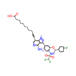 CC(Oc1cc(-c2nn(C)c3c(C#CCCCCCCCCC(=O)O)cnc(N)c23)ccc1NS(=O)(=O)C(F)F)c1ccc(F)cc1